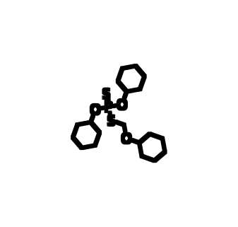 S=P(OC1CCCCC1)(OC1CCCCC1)SCOC1CCCCC1